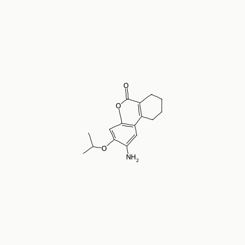 CC(C)Oc1cc2oc(=O)c3c(c2cc1N)CCCC3